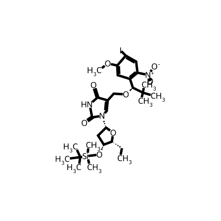 CC[C@H]1O[C@@H](n2cc(CO[C@H](c3cc(OC)c(I)cc3[N+](=O)[O-])C(C)(C)C)c(=O)[nH]c2=O)C[C@H]1O[Si](C)(C)C(C)(C)C